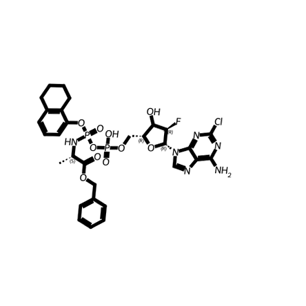 C[C@H](NP(=O)(Oc1cccc2c1CCCC2)OP(=O)(O)OC[C@H]1O[C@@H](n2cnc3c(N)nc(Cl)nc32)[C@H](F)C1O)C(=O)OCc1ccccc1